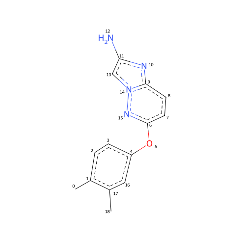 Cc1ccc(Oc2ccc3nc(N)cn3n2)cc1C